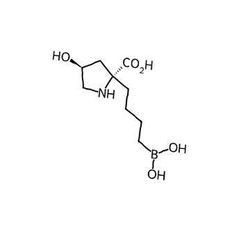 O=C(O)[C@@]1(CCCCB(O)O)C[C@H](O)CN1